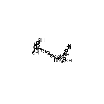 CCC[C@H]1[C@@H]2[C@H](CCCCOCCOCCOCCOCC(=O)N[C@H](C(=O)N3C[C@H](O)C[C@H]3C(=O)NCc3ccc(-c4scnc4C)cc3)C(C)C)Cc3cc(O)ccc3[C@H]2CC[C@]1(C)CCO